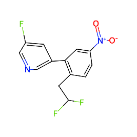 O=[N+]([O-])c1ccc(CC(F)F)c(-c2cncc(F)c2)c1